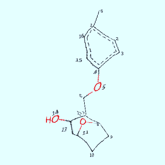 Cc1ccc(OCC2C3CCC(O3)C2O)cc1